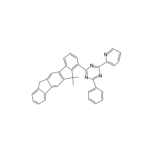 CC1(C)c2cc3c(cc2-c2cccc(-c4nc(-c5ccccc5)nc(-c5ccccn5)n4)c21)Cc1ccccc1-3